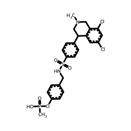 CN1Cc2c(Cl)cc(Cl)cc2C(c2ccc(S(=O)(=O)NCc3ccc(OP(C)(=O)O)cc3)cc2)C1